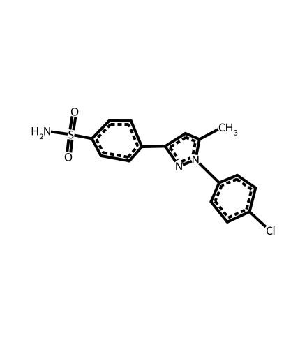 Cc1cc(-c2ccc(S(N)(=O)=O)cc2)nn1-c1ccc(Cl)cc1